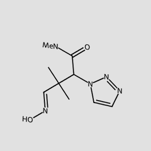 CNC(=O)C(n1ccnn1)C(C)(C)C=NO